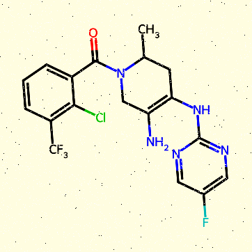 CC1CC(Nc2ncc(F)cn2)=C(N)CN1C(=O)c1cccc(C(F)(F)F)c1Cl